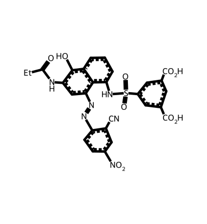 CCC(=O)Nc1cc(/N=N/c2ccc([N+](=O)[O-])cc2C#N)c2c(NS(=O)(=O)c3cc(C(=O)O)cc(C(=O)O)c3)cccc2c1O